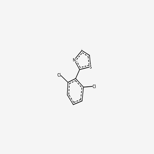 Clc1cccc(Cl)c1-c1n[c]cs1